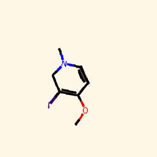 COC1=C(I)CN(C)C=C1